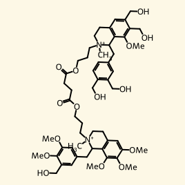 COc1cc(CC2c3c(cc(OC)c(OC)c3OC)CC[N+]2(C)CCCOC(=O)CCC(=O)OCCC[N+]2(C)CCc3cc(CO)c(CO)c(OC)c3C2Cc2ccc(CO)c(CO)c2)cc(CO)c1OC